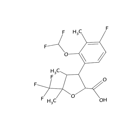 Cc1c(F)ccc(C2C(C(=O)O)OC(C)(C(F)(F)F)C2C)c1OC(F)F